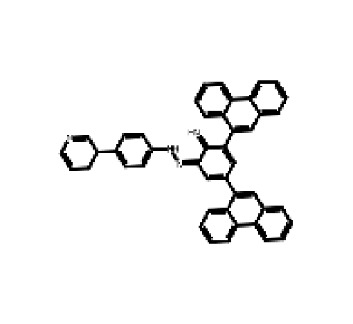 N=C1C(c2cc3ccccc3c3ccccc23)=CC(c2cc3ccccc3c3ccccc23)=C/C1=N/Nc1ccc(C2C=NC=CC2)cc1